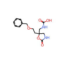 O=C(O)NCC1(CCOCc2ccccc2)CNC(=O)O1